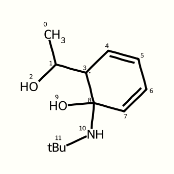 CC(O)[C]1C=CC=CC1(O)NC(C)(C)C